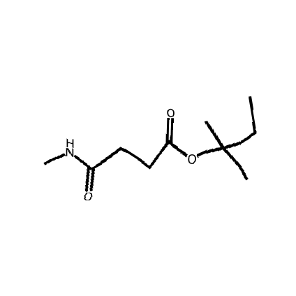 CCC(C)(C)OC(=O)CCC(=O)NC